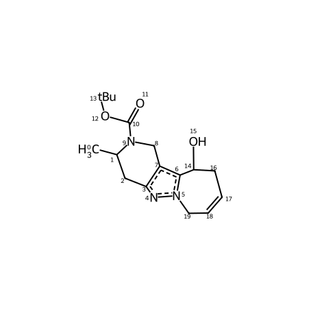 CC1Cc2nn3c(c2CN1C(=O)OC(C)(C)C)C(O)CC=CC3